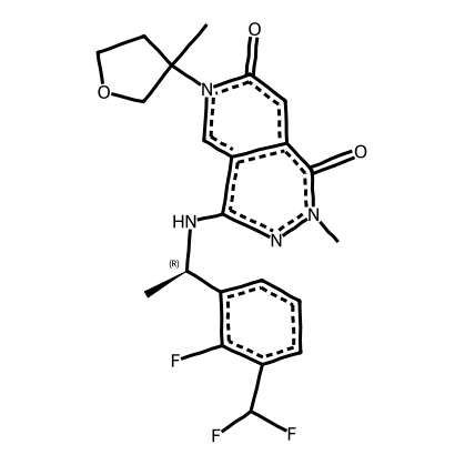 C[C@@H](Nc1nn(C)c(=O)c2cc(=O)n(C3(C)CCOC3)cc12)c1cccc(C(F)F)c1F